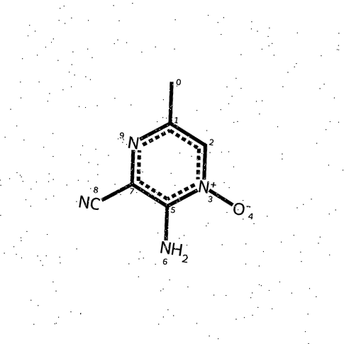 Cc1c[n+]([O-])c(N)c(C#N)n1